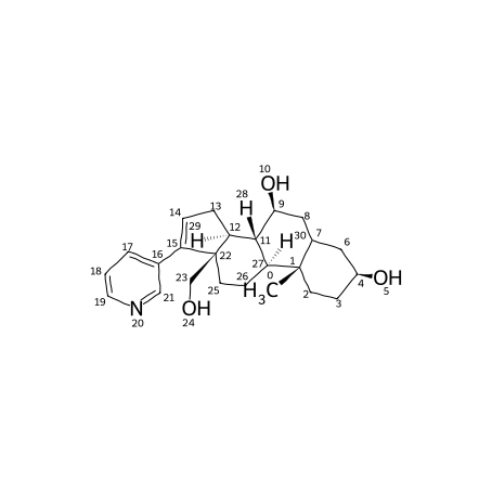 C[C@]12CC[C@H](O)CC1C[C@H](O)[C@H]1[C@@H]3CC=C(c4cccnc4)[C@@]3(CO)CC[C@@H]12